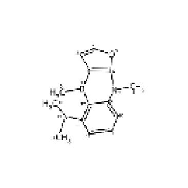 CB1c2ccoc2N(C)c2cccc(N(C)C)c21